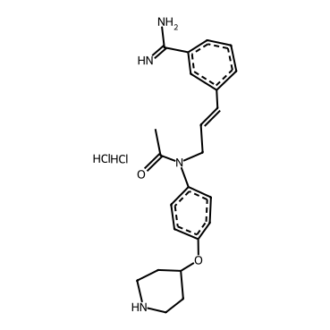 CC(=O)N(C/C=C/c1cccc(C(=N)N)c1)c1ccc(OC2CCNCC2)cc1.Cl.Cl